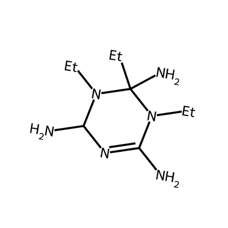 CCN1C(N)=NC(N)N(CC)C1(N)CC